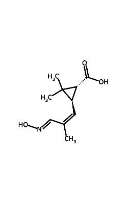 CC(C=NO)=C[C@@H]1[C@@H](C(=O)O)C1(C)C